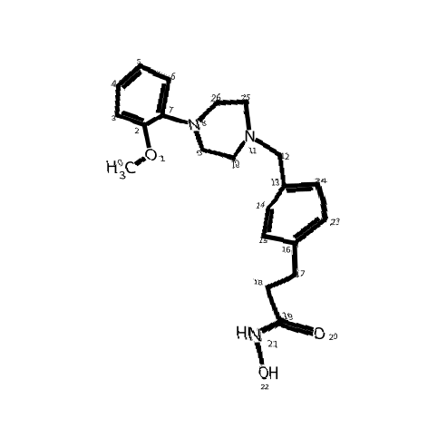 COc1ccccc1N1CCN(Cc2ccc(CCC(=O)NO)cc2)CC1